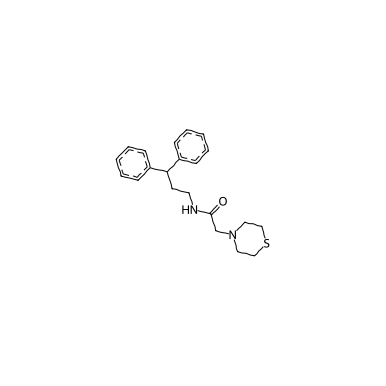 O=C(CN1CCSCC1)NCCC(c1ccccc1)c1ccccc1